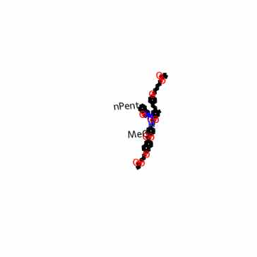 C=CC(=O)OCCCOc1ccc2cc(C(=O)Oc3ccc(/C=C/C(=O)Oc4cc(C)c(CCc5ccc(OCCCCCCOC(=O)C(=C)C)cc5)cc4NN4COc5cc(CCCCC)ccc5C4)cc3OC)ccc2c1